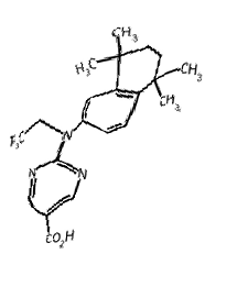 CC1(C)CCC(C)(C)c2cc(N(CC(F)(F)F)c3ncc(C(=O)O)cn3)ccc21